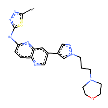 CC(C)c1nnc(Nc2ccc3ncc(-c4cnn(CCCN5CCOCC5)c4)cc3n2)s1